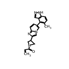 C=CC(=O)N1CC(c2cn3cc(-c4c(C)ccc5[nH]ncc45)ccc3n2)C1